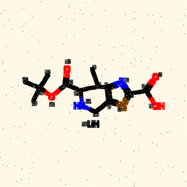 CC1c2nc(C(=O)O)sc2CNC1C(=O)OC(C)(C)C.[LiH]